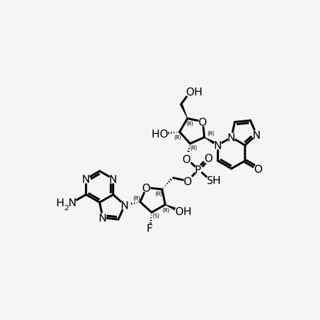 Nc1ncnc2c1ncn2[C@@H]1O[C@H](COP(=O)(S)O[C@@H]2[C@H](O)[C@@H](CO)O[C@H]2n2ccc(=O)c3nccn32)[C@@H](O)[C@@H]1F